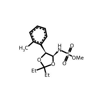 CCC1(CC)O[C@H](NS(=O)(=O)OC)[C@H](c2ccccc2C)O1